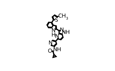 Cc1ccc(-c2cccc3[nH]c(-c4n[nH]c5ccc(-c6cncc(NC(=O)C7CC7)c6)nc45)cc23)s1